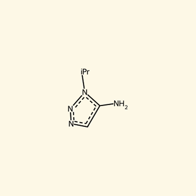 CC(C)n1nncc1N